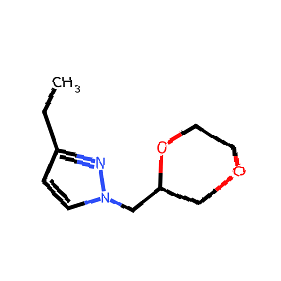 CCc1ccn(CC2COCCO2)n1